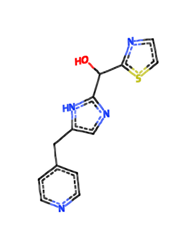 OC(c1ncc(Cc2ccncc2)[nH]1)c1nccs1